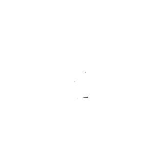 CC1CC(=O)CC2CC[C@@H]3[C@@H](CC[C@@]4(C)[C@H]3CCC4(O)CSc3ccc(O)cc3)[C@@]12C